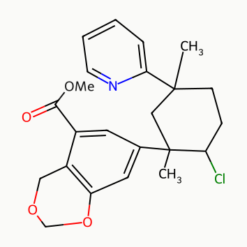 COC(=O)c1cc(C2(C)CC(C)(c3ccccn3)CCC2Cl)cc2c1COCO2